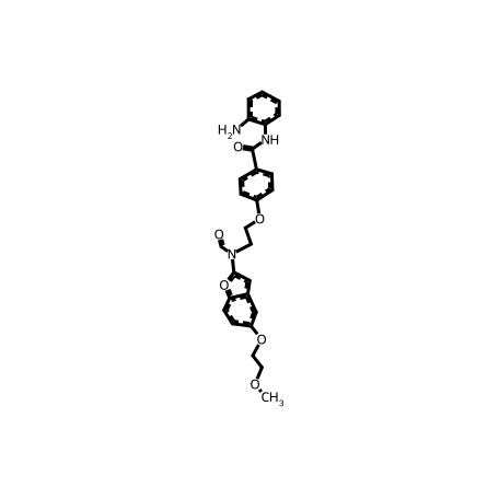 COCCOc1ccc2oc(N(C=O)CCOc3ccc(C(=O)Nc4ccccc4N)cc3)cc2c1